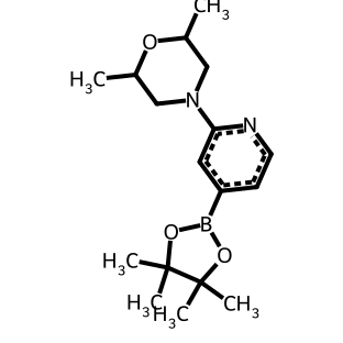 CC1CN(c2cc(B3OC(C)(C)C(C)(C)O3)ccn2)CC(C)O1